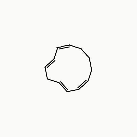 [C]1=C\CCC/C=C\C=C\C/C=C/1